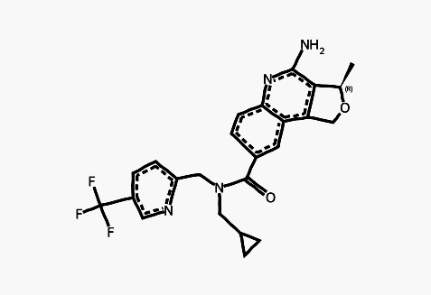 C[C@H]1OCc2c1c(N)nc1ccc(C(=O)N(Cc3ccc(C(F)(F)F)cn3)CC3CC3)cc21